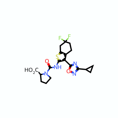 O=C(O)C1CCCN1C(=O)Nc1sc2c(c1-c1nc(C3CC3)no1)CCC(F)(F)C2